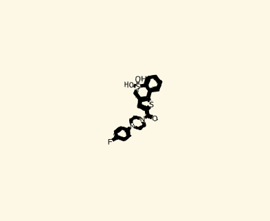 O=C(c1cc2c(s1)-c1ccccc1S(O)(O)C2)N1CCN(c2ccc(F)cc2)CC1